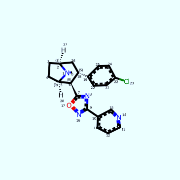 CN1[C@H]2CC[C@@H]1[C@H](c1nc(-c3cccnc3)no1)[C@@H](c1ccc(Cl)cc1)C2